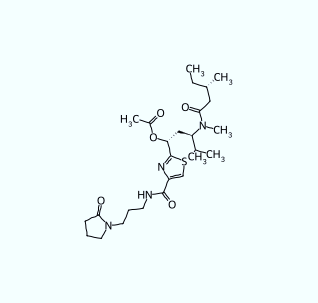 CC[C@H](C)CC(=O)N(C)[C@H](C[C@@H](OC(C)=O)c1nc(C(=O)NCCCN2CCCC2=O)cs1)C(C)C